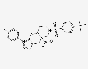 CC(C)(C)c1ccc(S(=O)(=O)N2CCC3=Cc4c(cnn4-c4ccc(F)cc4)CC3(C(=O)O)C2)cc1